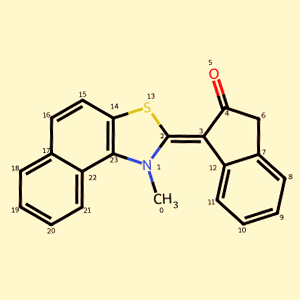 CN1/C(=C2/C(=O)Cc3ccccc32)Sc2ccc3ccccc3c21